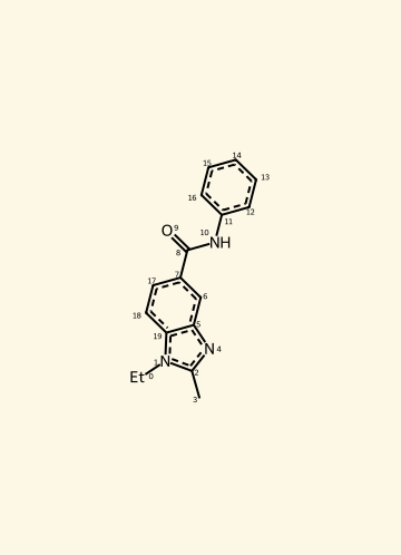 CCn1c(C)nc2cc(C(=O)Nc3ccccc3)ccc21